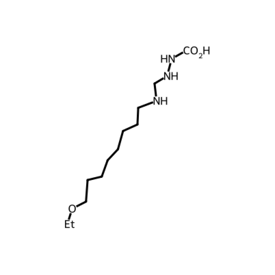 CCOCCCCCCCCNCNNC(=O)O